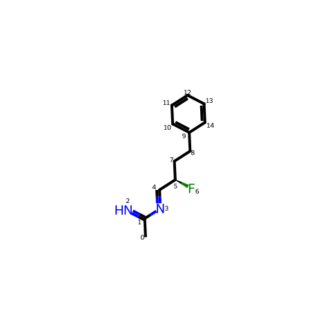 CC(=N)/N=C/[C@H](F)CCc1ccccc1